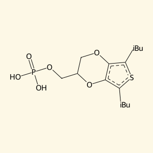 CCC(C)c1sc(C(C)CC)c2c1OCC(COP(=O)(O)O)O2